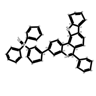 O=P(c1ccccc1)(c1ccccc1)c1cccc(-c2ccc3c(c2)nc(-c2ccccc2)c2ccc4c5ccccc5oc4c23)c1